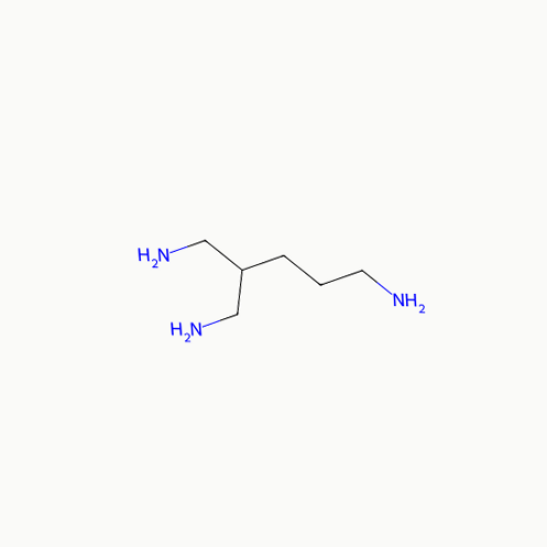 NCCCC(CN)CN